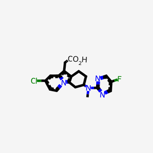 CN(c1ncc(F)cn1)C1CCc2c(CC(=O)O)c3cc(Cl)ccn3c2C1